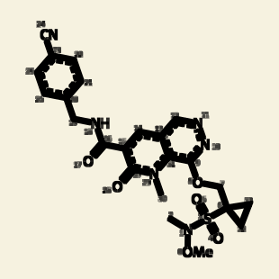 CON(C)S(=O)(=O)C1(COc2nncc3cc(C(=O)NCc4ccc(C#N)cc4)c(=O)n(C)c23)CC1